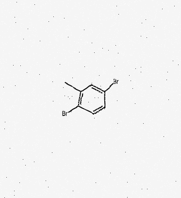 Cc1[c]c(Br)ccc1Br